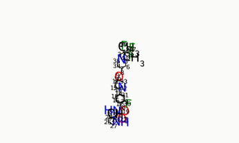 CC(C)(CN1CCC(COc2ccc(-c3ccc(C(=O)NC(=O)[C@]4(C)CCCN4)c(F)c3)nc2)CC1)C(F)(F)F